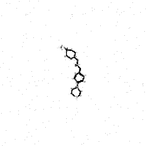 NC1CCC(CNCc2ccc(N3CCOCC3)cc2)CC1